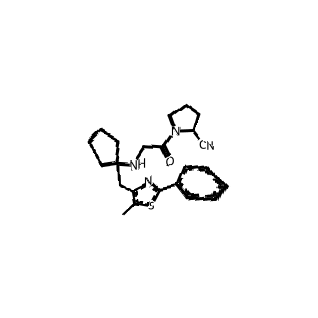 Cc1sc(-c2ccccc2)nc1CC1(NCC(=O)N2CCCC2C#N)CCCC1